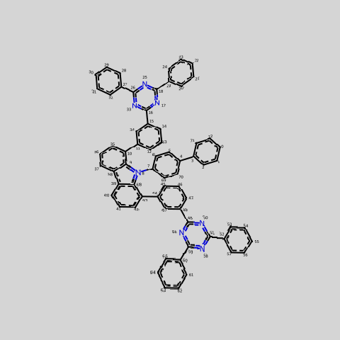 c1ccc(-c2ccc(-n3c4c(-c5cccc(-c6nc(-c7ccccc7)nc(-c7ccccc7)n6)c5)cccc4c4cccc(-c5cccc(-c6nc(-c7ccccc7)nc(-c7ccccc7)n6)c5)c43)cc2)cc1